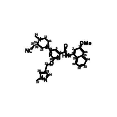 COc1cc(NC(=O)c2cc(N3CCN(C)[C@@H](CC#N)C3)nc(OCc3cnn(C)c3)n2)c2ccccc2c1